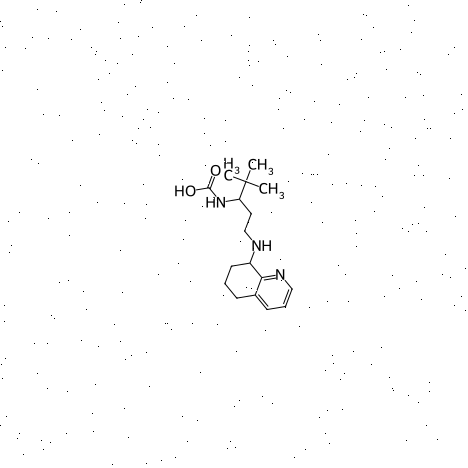 CC(C)(C)C(CCNC1CCCc2cccnc21)NC(=O)O